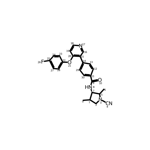 CC1CN(C#N)C(C)[C@@H]1NC(=O)c1ccc(-c2cnccc2Oc2ccc(F)cc2)cc1